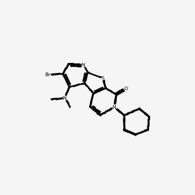 CN(C)c1c(Br)cnc2sc3c(=O)n(C4CCCCC4)ccc3c12